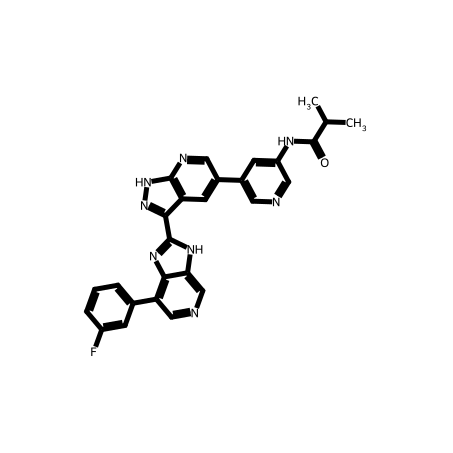 CC(C)C(=O)Nc1cncc(-c2cnc3[nH]nc(-c4nc5c(-c6cccc(F)c6)cncc5[nH]4)c3c2)c1